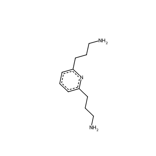 NCCCc1cccc(CCCN)n1